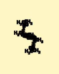 C=C(C)C(=O)OCCCCCC(C)Oc1ccc(C(C)(C)c2ccc(OC(C)CCCCCOC(=O)C(=C)C)cc2)cc1